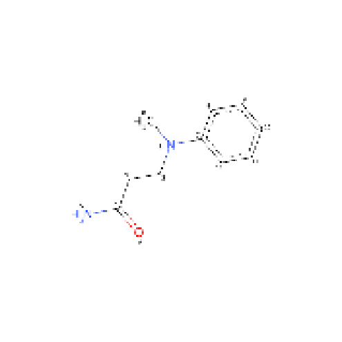 CN(CCC(N)=O)c1ccccc1